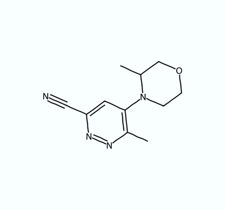 Cc1nnc(C#N)cc1N1CCOCC1C